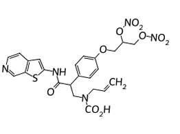 C=CCN(CC(C(=O)Nc1cc2ccncc2s1)c1ccc(OCC(CO[N+](=O)[O-])O[N+](=O)[O-])cc1)C(=O)O